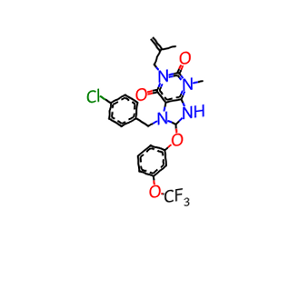 C=C(C)Cn1c(=O)c2c(n(C)c1=O)NC(Oc1cccc(OC(F)(F)F)c1)N2Cc1ccc(Cl)cc1